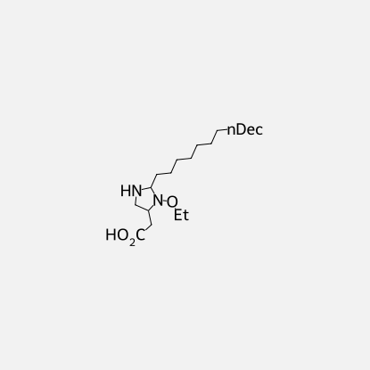 CCCCCCCCCCCCCCCCCC1NCC(CC(=O)O)N1OCC